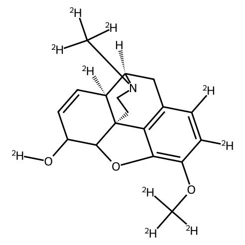 [2H]OC1C=C[C@@]2([2H])[C@H]3Cc4c([2H])c([2H])c(OC([2H])([2H])[2H])c5c4[C@@]2(CCN3C([2H])([2H])[2H])C1O5